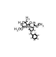 COC(=O)N[C@H](C(=O)N1CN(Cc2ccccc2)C[C@H]1C(=O)OC)C(C)C